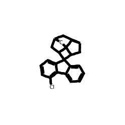 Clc1cccc2c1-c1ccccc1C21C2CC3CC4CC1C2(C3)C4